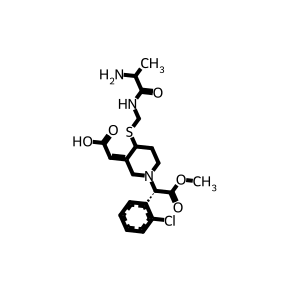 COC(=O)[C@H](c1ccccc1Cl)N1CCC(SCNC(=O)C(C)N)/C(=C\C(=O)O)C1